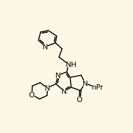 CCCN1Cc2c(NCCc3ccccn3)nc(N3CCOCC3)nc2C1=O